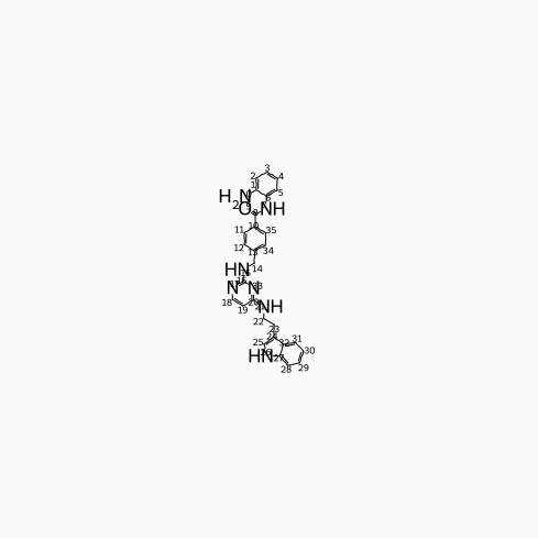 Nc1ccccc1NC(=O)c1ccc(CNc2nccc(NCCc3c[nH]c4ccccc34)n2)cc1